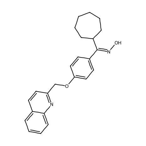 O/N=C(/c1ccc(OCc2ccc3ccccc3n2)cc1)C1CCCCCC1